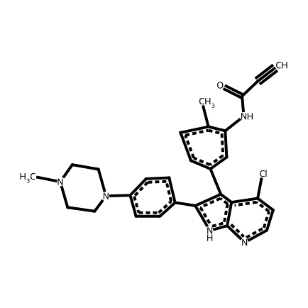 C#CC(=O)Nc1cc(-c2c(-c3ccc(N4CCN(C)CC4)cc3)[nH]c3nccc(Cl)c23)ccc1C